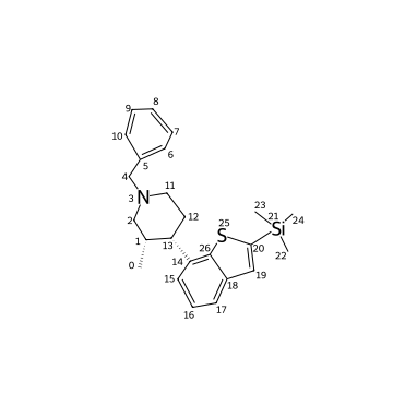 C[C@@H]1CN(Cc2ccccc2)CC[C@@H]1c1cccc2cc([Si](C)(C)C)sc12